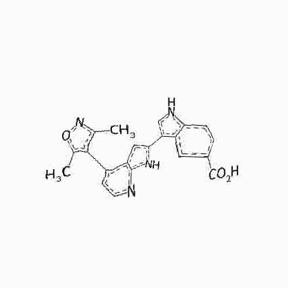 Cc1noc(C)c1-c1ccnc2[nH]c(-c3c[nH]c4ccc(C(=O)O)cc34)cc12